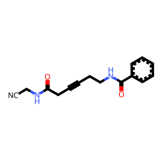 N#CCNC(=O)CC#CCCNC(=O)c1ccccc1